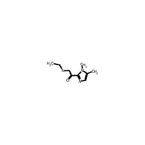 CCSCC(=O)c1ncc(C)n1C